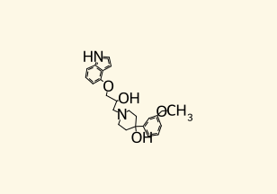 COc1cccc(C2(O)CCN(C[C@H](O)COc3cccc4[nH]ccc34)CC2)c1